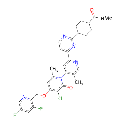 CNC(=O)C1CCC(c2nccc(-c3cc(-n4c(C)cc(OCc5ncc(F)cc5F)c(Cl)c4=O)c(C)cn3)n2)CC1